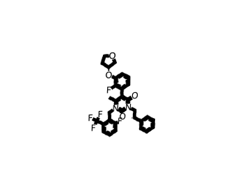 Cc1c(-c2cccc(O[C@@H]3CCOC3)c2F)c(=O)n(C[CH]c2ccccc2)c(=O)n1Cc1c(F)cccc1C(F)(F)F